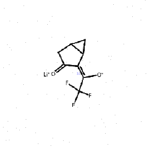 O=C1CC2CC2/C1=C(\[O-])C(F)(F)F.[Li+]